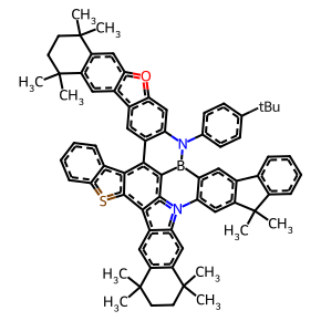 CC(C)(C)c1ccc(N2B3c4cc5c(cc4-n4c6cc7c(cc6c6c8sc9ccccc9c8c(c3c64)-c3cc4c(cc32)oc2cc3c(cc24)C(C)(C)CCC3(C)C)C(C)(C)CCC7(C)C)C(C)(C)c2ccccc2-5)cc1